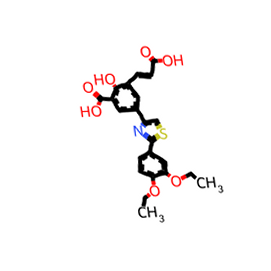 CCOc1ccc(-c2nc(-c3cc(C=CC(=O)O)c(O)c(C(=O)O)c3)cs2)cc1OCC